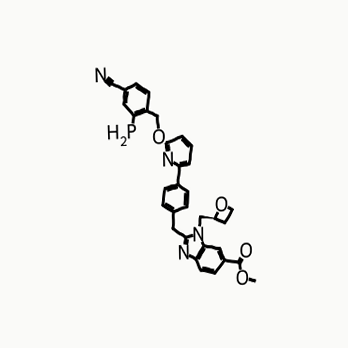 COC(=O)c1ccc2nc(Cc3ccc(-c4cccc(OCc5ccc(C#N)cc5P)n4)cc3)n(C[C@@H]3CCO3)c2c1